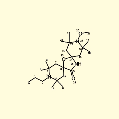 CCCN1C(C)(C)CC2(CC1(C)C)OC1(CC(C)(C)N(OC)C(C)(C)C1)NC2=O